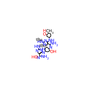 C[C@@H]1CC[C@@H](Nc2nc(NC(C)(C)C)ncc2/C(N)=N\[C@@H]2CC[C@@H](Nc3nc(NC(C)(C)C)ncc3/C(N)=N\O)C[C@H]2O)C[C@H]1O